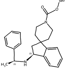 C[C@H](N[C@H]1CC2(CCN(C(=O)OC(C)(C)C)CC2)c2ccccc21)c1ccccc1